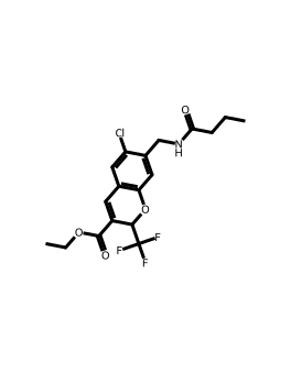 CCCC(=O)NCc1cc2c(cc1Cl)C=C(C(=O)OCC)C(C(F)(F)F)O2